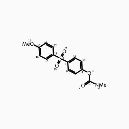 CNC(=O)Oc1ccc(S(=O)(=O)c2ccc(OC)cc2)cc1